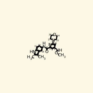 CONc1cc(C(=O)Nc2ccc3[nH]c(C)c(C)c3c2)nc(N2CCOCC2)c1